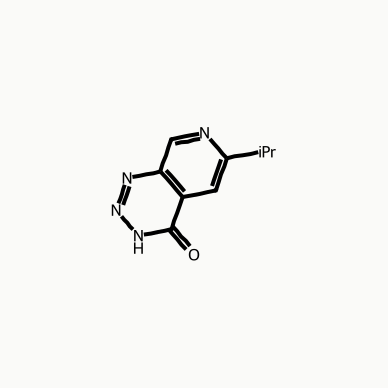 CC(C)c1cc2c(=O)[nH]nnc2cn1